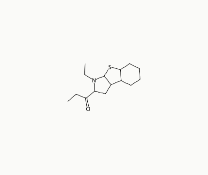 CCC(=O)C1CC2C3CCCCC3SC2N1CC